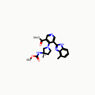 COC(=O)c1cncc(-c2nc3c(C)cccc3[nH]2)c1N1CC[C@](C)(NC(=O)OC(C)(C)C)C1